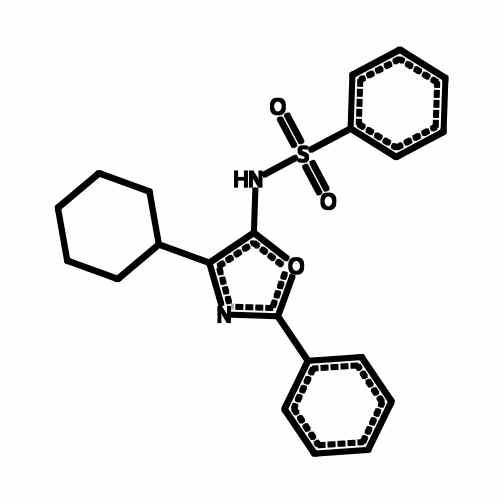 O=S(=O)(Nc1oc(-c2ccccc2)nc1C1CCCCC1)c1ccccc1